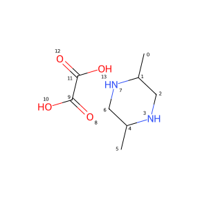 CC1CNC(C)CN1.O=C(O)C(=O)O